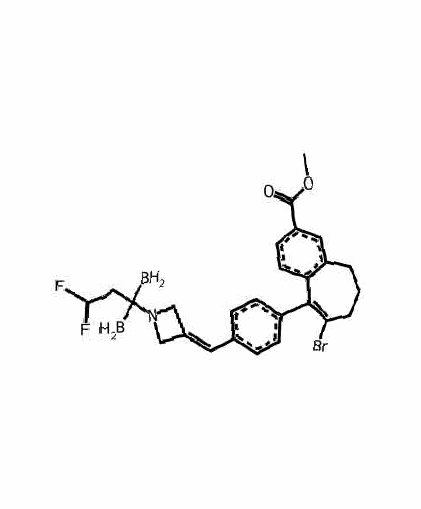 BC(B)(CC(F)F)N1CC(=Cc2ccc(C3=C(Br)CCCc4cc(C(=O)OC)ccc43)cc2)C1